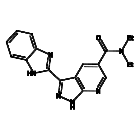 CCN(CC)C(=O)c1cnc2[nH]nc(-c3nc4ccccc4[nH]3)c2c1